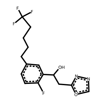 OC(Cc1nnco1)c1cc(CCCCC(F)(F)F)ccc1F